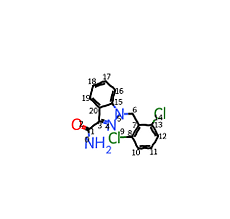 NC(=O)c1nn(Cc2c(Cl)cccc2Cl)c2ccccc12